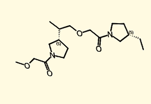 CC[C@H]1CCN(C(=O)COCC(C)[C@@H]2CCN(C(=O)COC)C2)C1